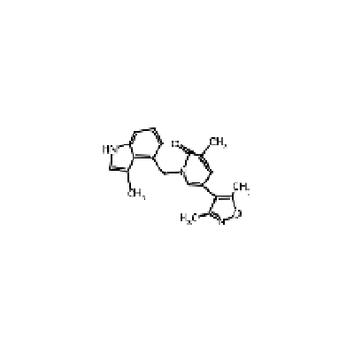 Cc1noc(C)c1-c1cc(C)c(=O)n(Cc2cccc3[nH]cc(C)c23)c1